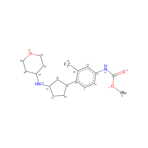 CC(C)(C)OC(=O)Nc1ccc(C2CCC(NC3CCOCC3)C2)c(C(F)(F)F)c1